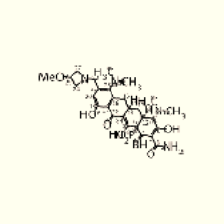 B=C1C(C(N)=O)=C(O)[C@@H](N(C)C)[C@@H]2C[C@@H]3Cc4c(c(O)cc(CN5CC(OC)C5)c4N(C)C)C(=O)C3=C(O)[C@]12P